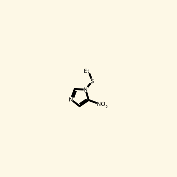 [CH2]CSn1cncc1[N+](=O)[O-]